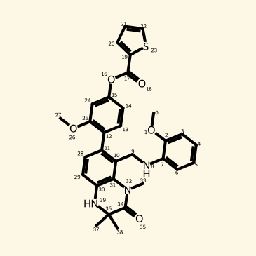 COc1ccccc1NCc1c(-c2ccc(OC(=O)c3cccs3)cc2OC)ccc2c1N(C)C(=O)C(C)(C)N2